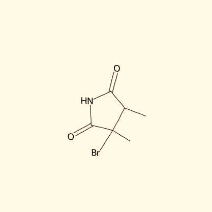 CC1C(=O)NC(=O)C1(C)Br